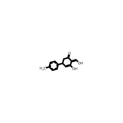 Cc1ccc(C2C=C(O)/C(=C\O)C(=O)C2)cc1